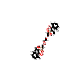 CCC(C(=O)C1=C(C)C=CCC1(C)C)S(=O)(=O)CCOCCOCCS(=O)(=O)C(CC)C(=O)C1=C(C)C=CCC1(C)C